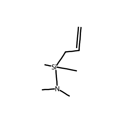 C=CC[Si](C)(C)N(C)C